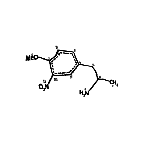 COc1ccc(CC(C)N)cc1[N+](=O)[O-]